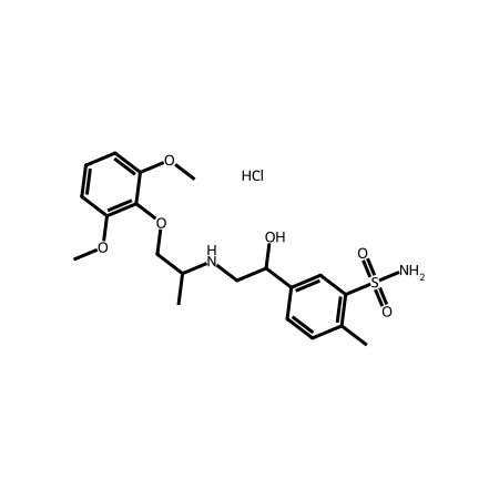 COc1cccc(OC)c1OCC(C)NCC(O)c1ccc(C)c(S(N)(=O)=O)c1.Cl